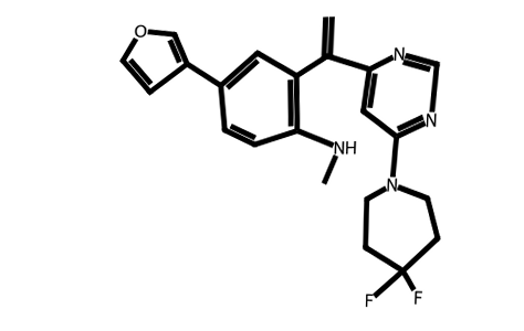 C=C(c1cc(N2CCC(F)(F)CC2)ncn1)c1cc(-c2ccoc2)ccc1NC